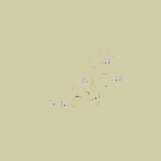 Nc1ccc(S(=O)(=O)Nc2ccc(C(=O)N3CCN(CC4CC4)CC3)cc2OC(F)(F)F)c(-c2cccc3cccnc23)c1